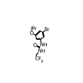 CC(C)Oc1cc(Br)cc(NC(=O)NCC(F)(F)F)c1